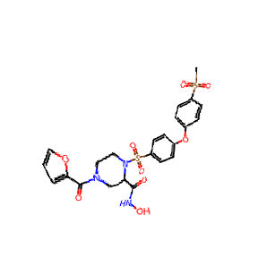 CS(=O)(=O)c1ccc(Oc2ccc(S(=O)(=O)N3CCN(C(=O)c4ccco4)CC3C(=O)NO)cc2)cc1